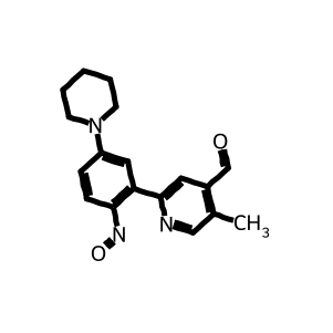 Cc1cnc(-c2cc(N3CCCCC3)ccc2N=O)cc1C=O